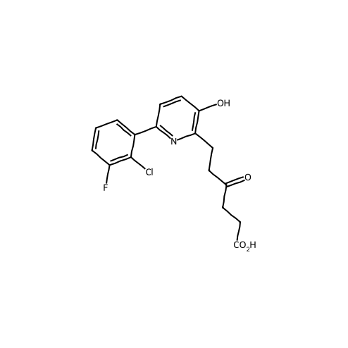 O=C(O)CCC(=O)CCc1nc(-c2cccc(F)c2Cl)ccc1O